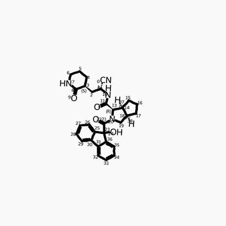 N#C[C@@H](C[C@@H]1CCCNC1=O)NC(=O)[C@H]1[C@H]2CCC[C@H]2CN1C(=O)C1(O)c2ccccc2-c2ccccc21